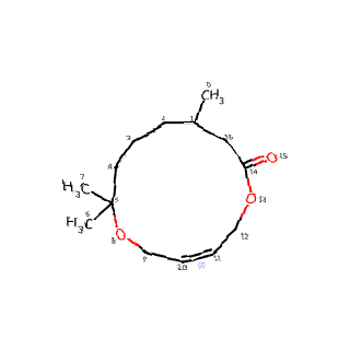 CC1CCCC(C)(C)OC/C=C\COC(=O)C1